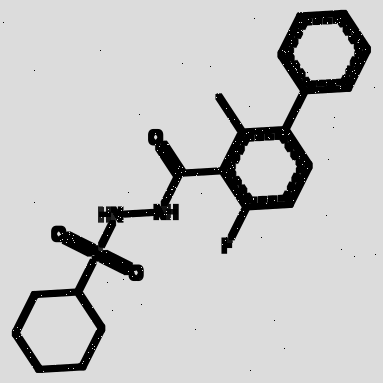 Cc1c(-c2ccccc2)ccc(F)c1C(=O)NNS(=O)(=O)C1CCCCC1